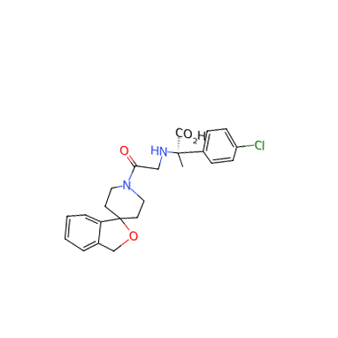 C[C@](NCC(=O)N1CCC2(CC1)OCc1ccccc12)(C(=O)O)c1ccc(Cl)cc1